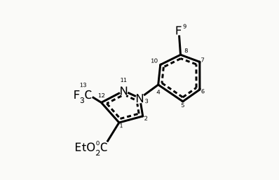 CCOC(=O)c1cn(-c2cccc(F)c2)nc1C(F)(F)F